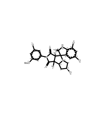 [2H]C12C(=O)N(c3cc(Cl)cc(OC)c3)C(=O)C1([2H])C1(C(=O)Nc3c(Cl)cc(Cl)cc31)N1C[C@@H](Cl)CC12